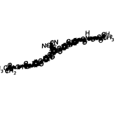 C=C(C)C(=O)OCCOCCNC(=O)OCCc1ccc(OC(=O)[C@H]2CC[C@H](C(=O)Oc3ccc(OC(=O)[C@H]4CC[C@H](C(=O)Oc5ccc(CCOC(=O)NCCOCCOC(=O)C(=C)C)cc5)CC4)c4c3SC(=C(C#N)C#N)S4)CC2)cc1